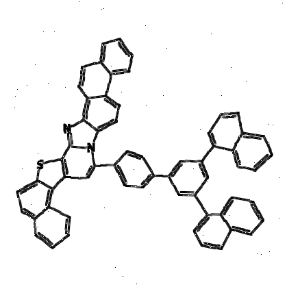 c1ccc2c(-c3cc(-c4ccc(-c5cc6c(sc7ccc8ccccc8c76)c6nc7c8ccc9ccccc9c8ccc7n56)cc4)cc(-c4cccc5ccccc45)c3)cccc2c1